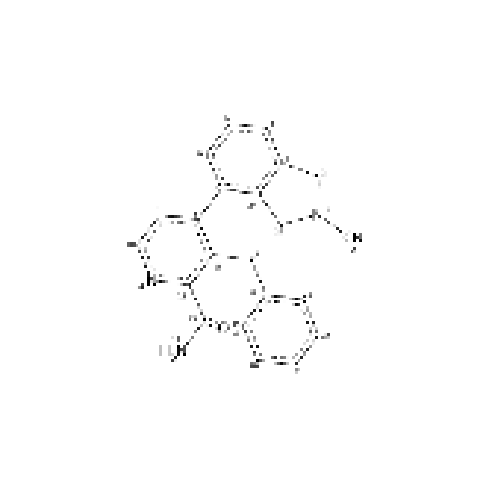 N#CN1Cc2cccc(-c3ccnc(C(N)=O)c3Cc3ccccc3)c2C1